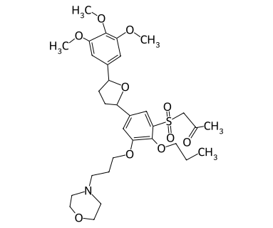 CCCOc1c(OCCCN2CCOCC2)cc(C2CCC(c3cc(OC)c(OC)c(OC)c3)O2)cc1S(=O)(=O)CC(C)=O